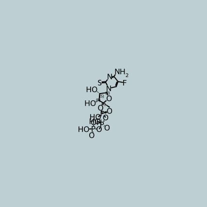 C[C@]1(OP(=O)(O)OP(=O)(O)OP(=O)(O)O)O[C@@H](n2cc(F)c(N)nc2=S)[C@@H](O)[C@H]1O